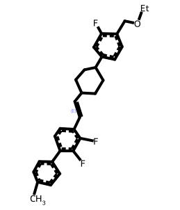 CCOCc1ccc(C2CCC(/C=C/c3ccc(-c4ccc(C)cc4)c(F)c3F)CC2)cc1F